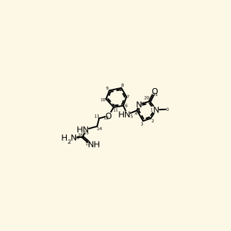 Cn1ccc(Nc2ccccc2OCCNC(=N)N)nc1=O